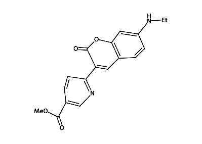 CCNc1ccc2cc(-c3ccc(C(=O)OC)cn3)c(=O)oc2c1